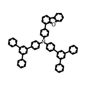 c1ccc(-c2cc(-c3ccccc3)cc(-c3ccc(N(c4ccc(-c5cc(-c6ccccc6)cc(-c6ccccc6)c5)cc4)c4ccc(-c5cccc6c5oc5ccccc56)cc4)cc3)c2)cc1